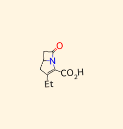 CCC1=C(C(=O)O)N2C(=O)CC2C1